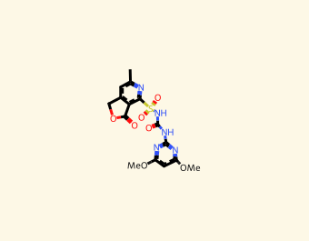 COc1cc(OC)nc(NC(=O)NS(=O)(=O)c2nc(C)cc3c2C(=O)OC3)n1